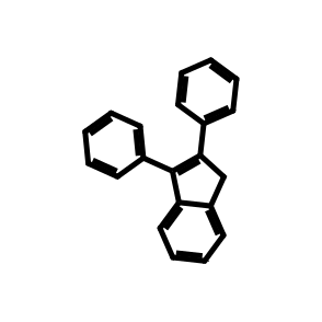 [c]1ccc2c(c1)CC(c1ccccc1)=C2c1ccccc1